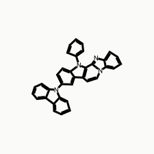 c1ccc(-n2c3ccc(-n4c5ccccc5c5ccccc54)cc3c3ccn4c5ccccc5nc4c32)cc1